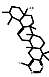 CC1CCC2(C(=O)O)CCC3(C)C(=CCC4C5(C)Cc6c(O)ncnc6C(C)(C)C5CCC43C)C2C1C